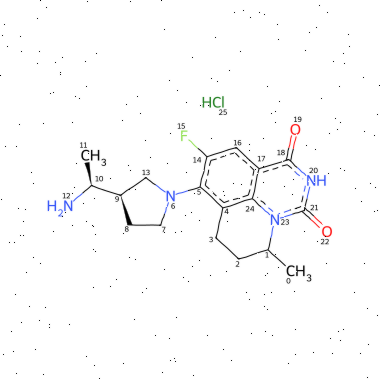 CC1CCc2c(N3CC[C@@H]([C@H](C)N)C3)c(F)cc3c(=O)[nH]c(=O)n1c23.Cl